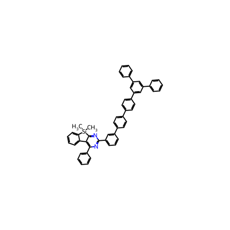 C[Si]1(C)c2ccccc2-c2c(-c3ccccc3)nc(-c3cccc(-c4ccc(-c5ccc(-c6cc(-c7ccccc7)cc(-c7ccccc7)c6)cc5)cc4)c3)nc21